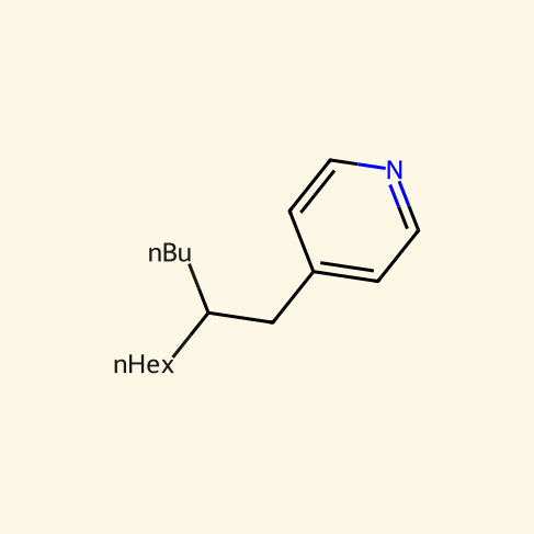 CCCCCCC(CCCC)Cc1ccncc1